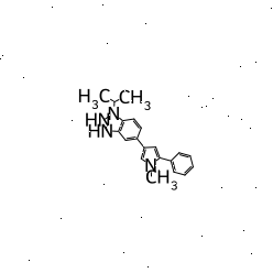 CC(C)N1NNc2cc(-c3cc(-c4ccccc4)n(C)c3)ccc21